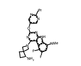 CNc1cc(F)c(F)c2c1[nH]c1nc(Oc3cnc(C(C)C)nc3)nc(N3CC4(CC[C@H]4N)C3)c12